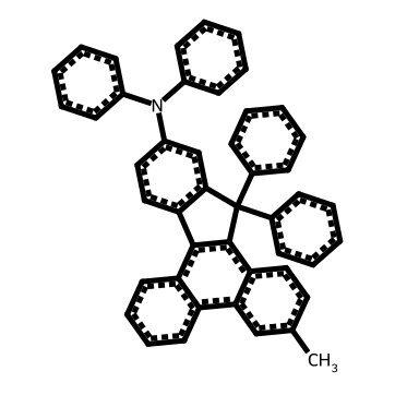 Cc1ccc2c3c(c4ccccc4c2c1)-c1ccc(N(c2ccccc2)c2ccccc2)cc1C3(c1ccccc1)c1ccccc1